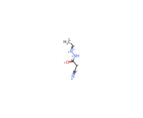 C/C=N/NC(=O)CC#N